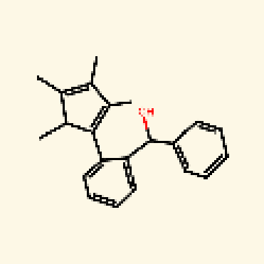 CC1=C(C)C(C)C(c2ccccc2C(O)c2ccccc2)=C1C